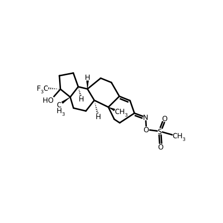 C[C@]12CC/C(=N\OS(C)(=O)=O)C=C1CC[C@@H]1[C@@H]2CC[C@@]2(C)[C@H]1CC[C@@]2(O)C(F)(F)F